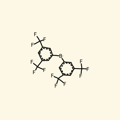 FC(F)(F)c1cc([B]c2cc(C(F)(F)F)cc(C(F)(F)F)c2)cc(C(F)(F)F)c1